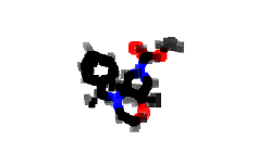 C[C@H](c1ccccc1)N1CCO[C@@H]2CN(C(=O)OC(C)(C)C)C[C@H]21